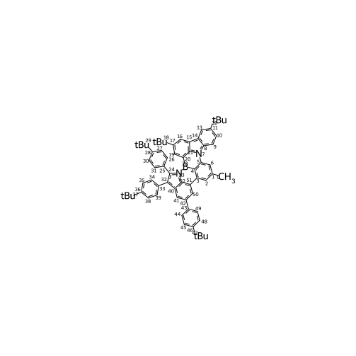 Cc1cc2c3c(c1)-n1c4ccc(C(C)(C)C)cc4c4cc(C(C)(C)C)cc(c41)B3n1c(-c3ccc(C(C)(C)C)cc3)c(-c3ccc(C(C)(C)C)cc3)c3cc(-c4ccc(C(C)(C)C)cc4)cc-2c31